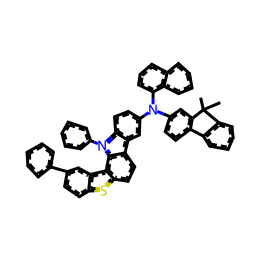 CC1(C)c2ccccc2-c2ccc(N(c3ccc4c(c3)c3ccc5sc6ccc(-c7ccccc7)cc6c5c3n4-c3ccccc3)c3cccc4ccccc34)cc21